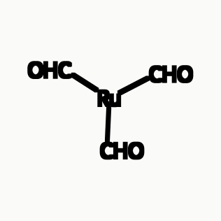 O=[CH][Ru]([CH]=O)[CH]=O